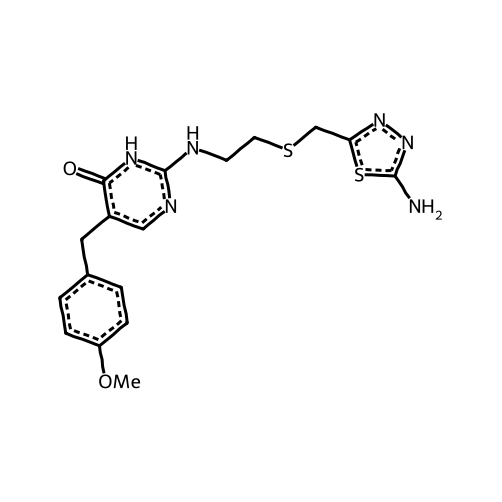 COc1ccc(Cc2cnc(NCCSCc3nnc(N)s3)[nH]c2=O)cc1